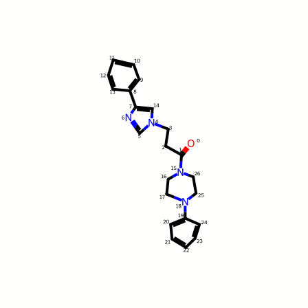 O=C(CCn1cnc(-c2ccccc2)c1)N1CCN(c2ccccc2)CC1